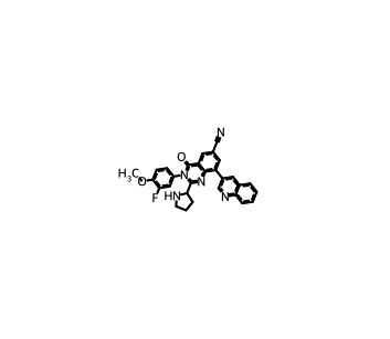 COc1ccc(-n2c(C3CCCN3)nc3c(-c4cnc5ccccc5c4)cc(C#N)cc3c2=O)cc1F